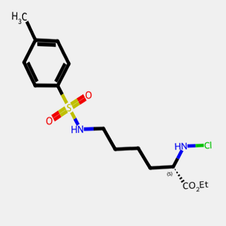 CCOC(=O)[C@H](CCCCNS(=O)(=O)c1ccc(C)cc1)NCl